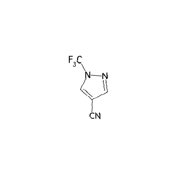 N#Cc1cnn(C(F)(F)F)c1